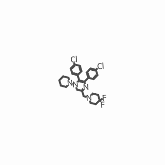 FC1(F)CCN(CC2=NC(c3ccc(Cl)cc3)=C(c3ccc(Cl)cc3)N(N3CCCCC3)C2)CC1